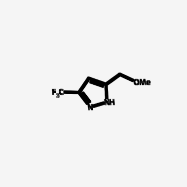 COCc1cc(C(F)(F)F)n[nH]1